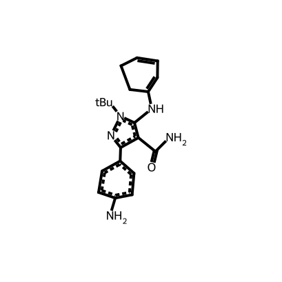 CC(C)(C)n1nc(-c2ccc(N)cc2)c(C(N)=O)c1NC1=CC=CCC1